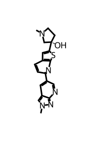 CN1CC[C@@](O)(c2cc3ccc(-c4cnc5nn(C)cc5c4)nc3s2)C1